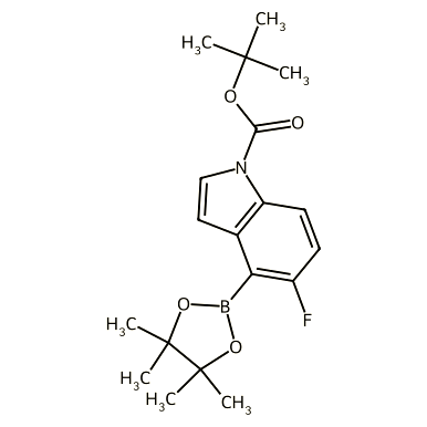 CC(C)(C)OC(=O)n1ccc2c(B3OC(C)(C)C(C)(C)O3)c(F)ccc21